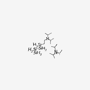 CC(C)N(CC[SiH2][SiH2][SiH2][SiH3])C(C)C.C[CH]N(C(C)C)C(C)C